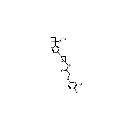 O=C(COc1ccc(Cl)c(F)c1)NC12CC(n3cnc(C4(OC(F)(F)F)CCC4)c3)(C1)C2